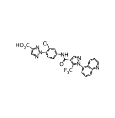 O=C(O)c1cnn(-c2ccc(NC(=O)c3cnn(-c4cccc5ncccc45)c3C(F)(F)F)cc2Cl)n1